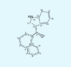 O=C(c1cccc2ccccc12)C1CNC2CC=CC=C21